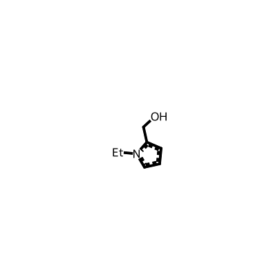 [CH2]Cn1cccc1CO